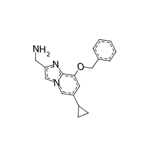 NCc1cn2cc(C3CC3)cc(OCc3ccccc3)c2n1